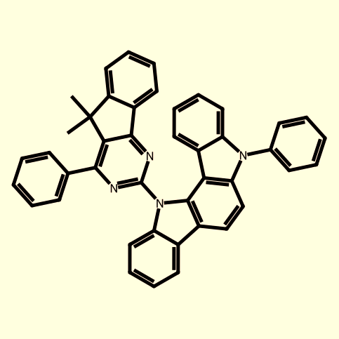 CC1(C)c2ccccc2-c2nc(-n3c4ccccc4c4ccc5c(c6ccccc6n5-c5ccccc5)c43)nc(-c3ccccc3)c21